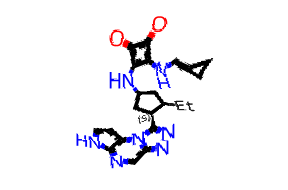 CCC1CC(Nc2c(NCC3CC3)c(=O)c2=O)C[C@@H]1c1nnc2cnc3[nH]ccc3n12